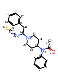 CCC(=O)N(c1ccccc1)C1CCN(C(Cc2ccccc2)N=C=S)CC1